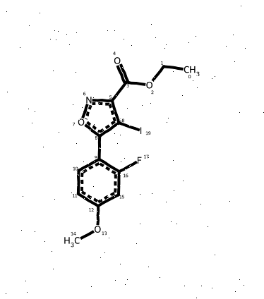 CCOC(=O)c1noc(-c2ccc(OC)cc2F)c1I